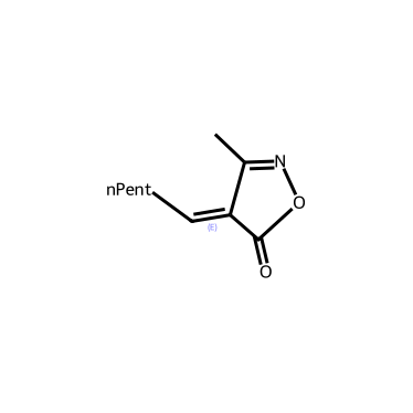 CCCCC/C=C1/C(=O)ON=C1C